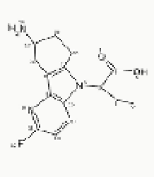 CCC(C(=O)O)n1c2c(c3nc(F)ccc31)CC(N)CC2